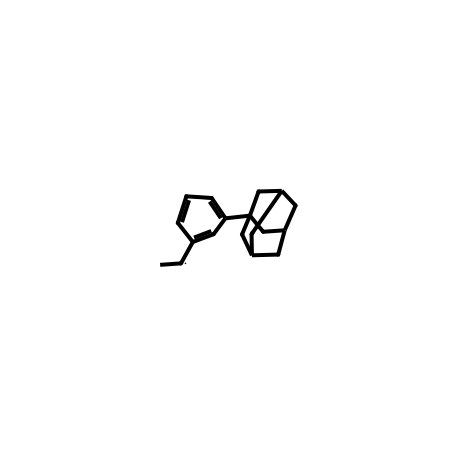 C[CH]c1cccc(C23CC4CC(CC(C4)C2)C3)c1